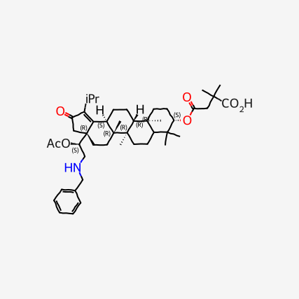 CC(=O)O[C@H](CNCc1ccccc1)[C@@]12CC[C@]3(C)[C@H](CC[C@@H]4[C@@]5(C)CC[C@H](OC(=O)CC(C)(C)C(=O)O)C(C)(C)C5CC[C@]43C)C1=C(C(C)C)C(=O)C2